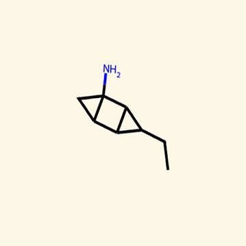 CCC1C2C3CC3(N)C12